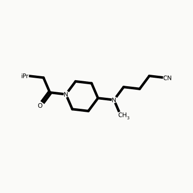 CC(C)CC(=O)N1CCC(N(C)CCCC#N)CC1